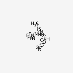 CCCc1cc2c(N3CCn4c(nnc4C(F)(F)F)C3)nc(N3CC[C@H](NC(=O)Oc4ccc([N+](=O)[O-])cc4)C3)nc2s1